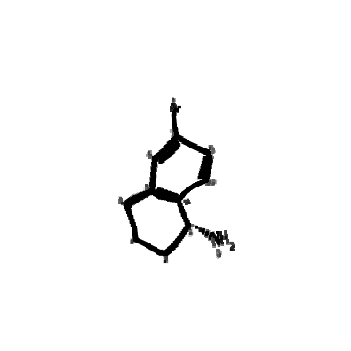 N[C@@H]1CCCc2cc(Br)ccc21